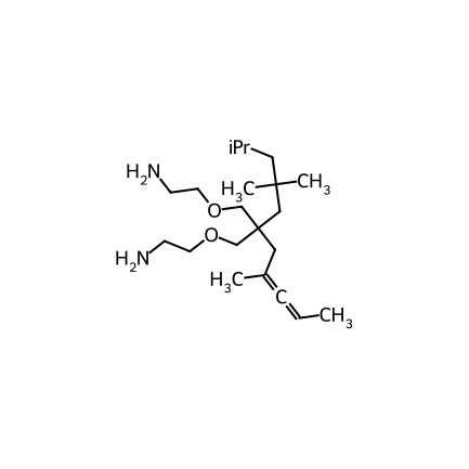 CC=C=C(C)CC(COCCN)(COCCN)CC(C)(C)CC(C)C